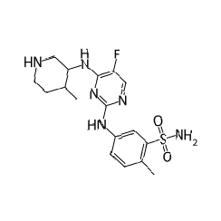 Cc1ccc(Nc2ncc(F)c(NC3CNCCC3C)n2)cc1S(N)(=O)=O